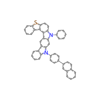 c1ccc(-n2c3cc4c(cc3c3c5c(ccc32)sc2ccccc25)c2ccccc2n4-c2ccc(-c3ccc4ccccc4c3)cc2)cc1